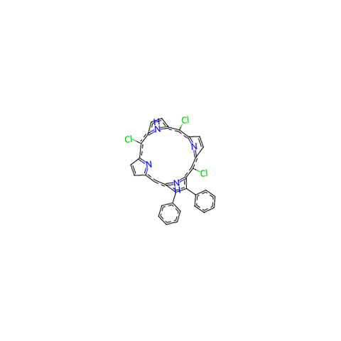 Clc1c2nc(cc3[nH]c(c(Cl)c4nc(c(Cl)c5ccc1[nH]5)C=C4)c(-c1ccccc1)c3-c1ccccc1)C=C2